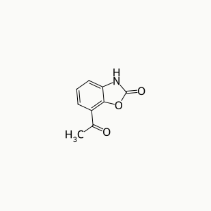 CC(=O)c1cccc2[nH]c(=O)oc12